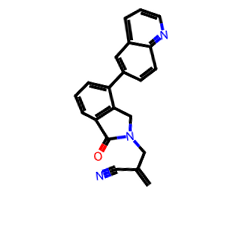 C=C(C#N)CN1Cc2c(cccc2-c2ccc3ncccc3c2)C1=O